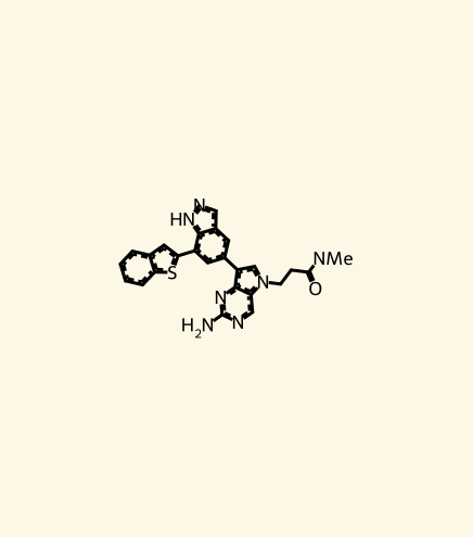 CNC(=O)CCn1cc(-c2cc(-c3cc4ccccc4s3)c3[nH]ncc3c2)c2nc(N)ncc21